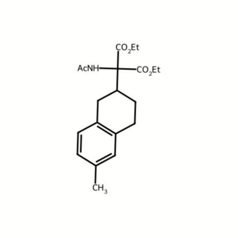 CCOC(=O)C(NC(C)=O)(C(=O)OCC)C1CCc2cc(C)ccc2C1